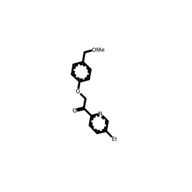 CCc1ccc(C(=O)COc2ccc(COC)cc2)nc1